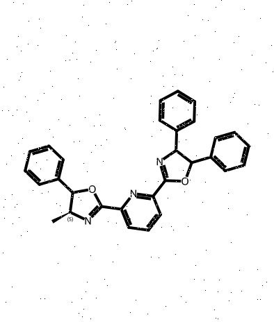 C[C@@H]1N=C(c2cccc(C3=NC(c4ccccc4)C(c4ccccc4)O3)n2)OC1c1ccccc1